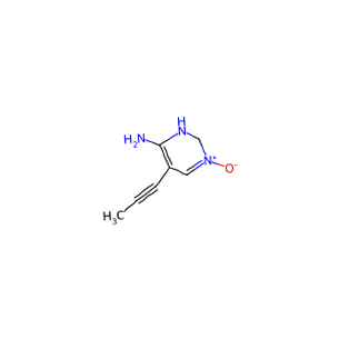 CC#CC1=C(N)NC[N+]([O-])=C1